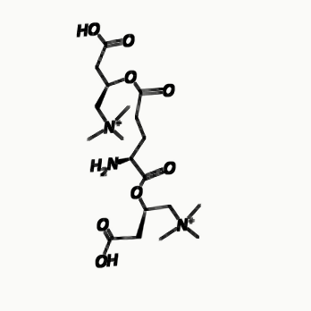 C[N+](C)(C)C[C@@H](CC(=O)O)OC(=O)CC[C@H](N)C(=O)O[C@H](CC(=O)O)C[N+](C)(C)C